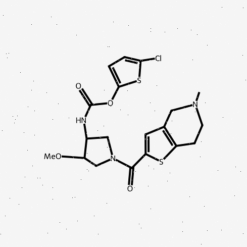 COC1CN(C(=O)c2cc3c(s2)CCN(C)C3)CC1NC(=O)Oc1ccc(Cl)s1